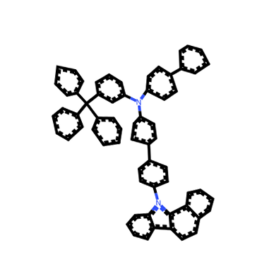 c1ccc(-c2ccc(N(c3ccc(-c4ccc(-n5c6ccccc6c6ccc7ccccc7c65)cc4)cc3)c3cccc(C(c4ccccc4)(c4ccccc4)c4ccccc4)c3)cc2)cc1